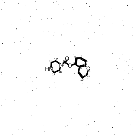 O=C(Oc1cccc2c1C=CCO2)N1CCNCC1